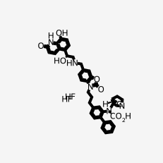 F.F.O=C(O)N(c1cc(CCCn2c(=O)oc3cc(CNC[C@@H](O)c4ccc(O)c5[nH]c(=O)ccc45)ccc32)ccc1-c1ccccc1)[C@H]1CN2CCC1CC2